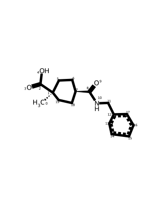 C[C@]1(C(=O)O)CC[C@@H](C(=O)NCc2ccccc2)CC1